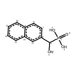 O=P(O)(O)C(O)c1ccc2ccccc2c1